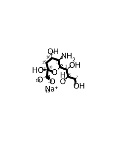 N[C@H]1[C@H]([C@H](O)[C@H](O)CO)O[C@](O)(C(=O)[O-])C[C@@H]1O.[Na+]